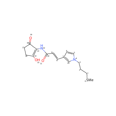 CSCCCn1ccc(/C=C/C(=O)NC2=C(O)CCC2=O)c1